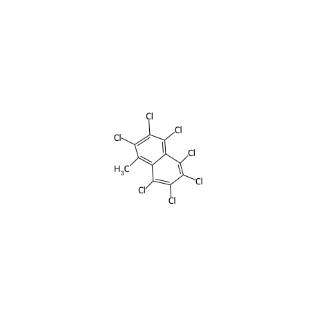 Cc1c(Cl)c(Cl)c(Cl)c2c(Cl)c(Cl)c(Cl)c(Cl)c12